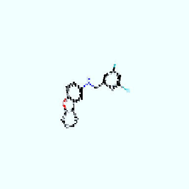 Fc1cc(F)cc(CNc2ccc3oc4ccccc4c3c2)c1